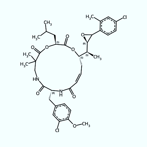 COc1ccc(C[C@H]2NC(=O)C=CC[C@@H]([C@H](C)[C@H]3OC3c3ccc(Cl)cc3C)OC(=O)[C@H](CC(C)C)OC(=O)C(C)(C)CNC2=O)cc1Cl